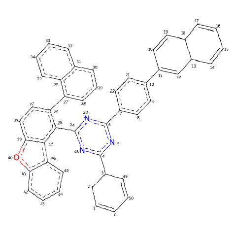 C1=CCC(c2nc(-c3ccc(C4=CC5C=CC=CC5C=C4)cc3)nc(-c3c(-c4cccc5ccccc45)ccc4oc5ccccc5c34)n2)C=C1